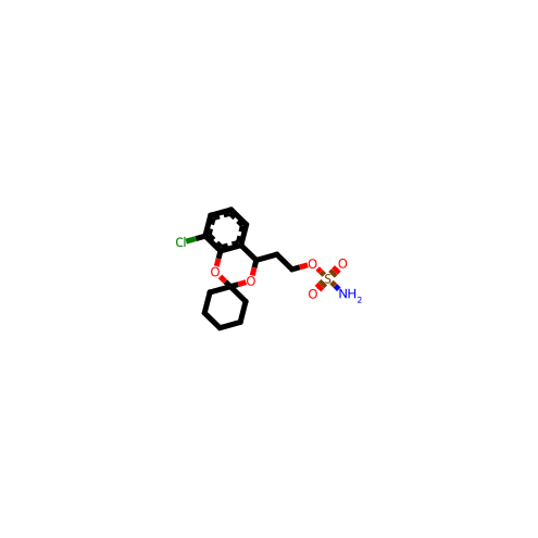 NS(=O)(=O)OCCC1OC2(CCCCC2)Oc2c(Cl)cccc21